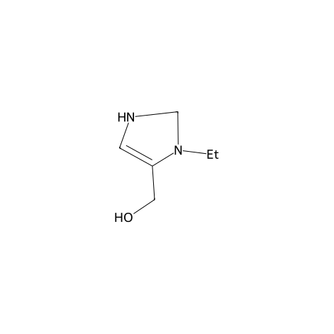 CCN1CNC=C1CO